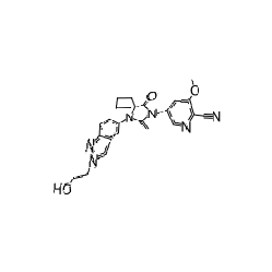 C=C1N(c2cnc(C#N)c(OC)c2)C(=O)C2(CCC2)N1c1ccc2nn(CCO)cc2c1